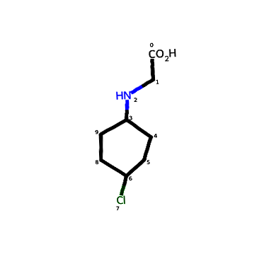 O=C(O)CNC1CCC(Cl)CC1